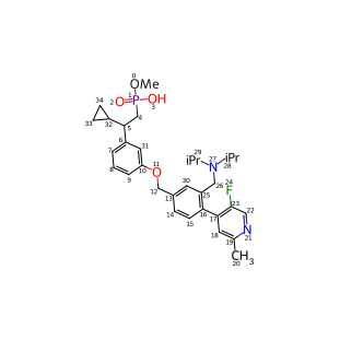 COP(=O)(O)CC(c1cccc(OCc2ccc(-c3cc(C)ncc3F)c(CN(C(C)C)C(C)C)c2)c1)C1CC1